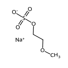 COCCOS(=O)(=O)[O-].[Na+]